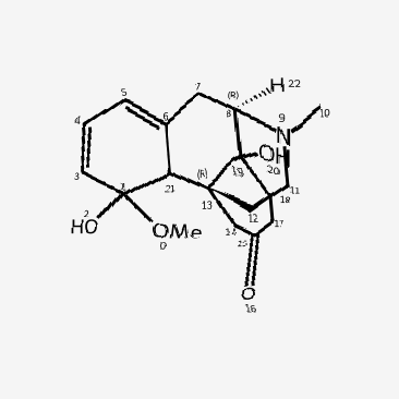 COC1(O)C=CC=C2C[C@H]3N(C)CC[C@@]4(CC(=O)CCC34O)C21